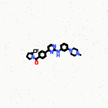 CN1CCN(c2cccc(Nc3nccc(-c4ccc(C(=O)N5CCC[C@H]5C(F)(F)F)cc4)n3)c2)CC1